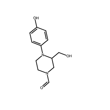 O=CN1CCN(c2ccc(O)cc2)C(CO)C1